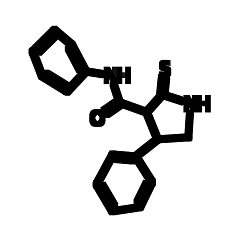 O=C(Nc1ccccc1)C1C(=S)NCC1c1ccccc1